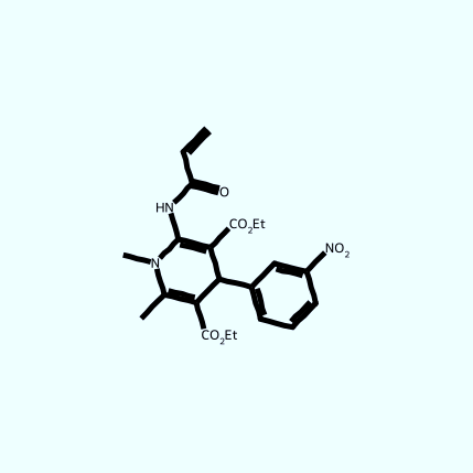 C=CC(=O)NC1=C(C(=O)OCC)C(c2cccc([N+](=O)[O-])c2)C(C(=O)OCC)=C(C)N1C